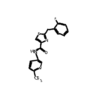 O=C(Nc1ccc(C(F)(F)F)nc1)c1csc(Cc2ccccc2F)n1